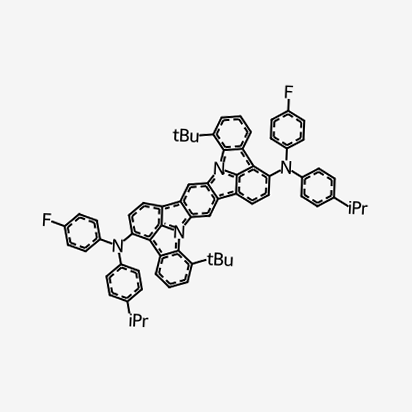 CC(C)c1ccc(N(c2ccc(F)cc2)c2ccc3c4cc5c(cc4n4c6c(C(C)(C)C)cccc6c2c34)c2ccc(N(c3ccc(F)cc3)c3ccc(C(C)C)cc3)c3c4cccc(C(C)(C)C)c4n5c23)cc1